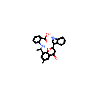 Cc1cc(C(C)Nc2ccccc2C(=O)O)c2oc(-c3c[nH]c4ccccc34)cc(=O)c2c1